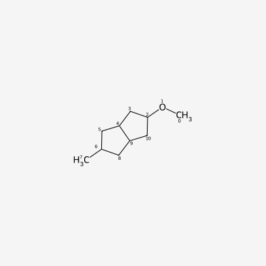 COC1CC2CC(C)CC2C1